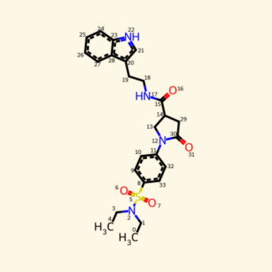 CCN(CC)S(=O)(=O)c1ccc(N2CC(C(=O)NCCc3c[nH]c4ccccc34)CC2=O)cc1